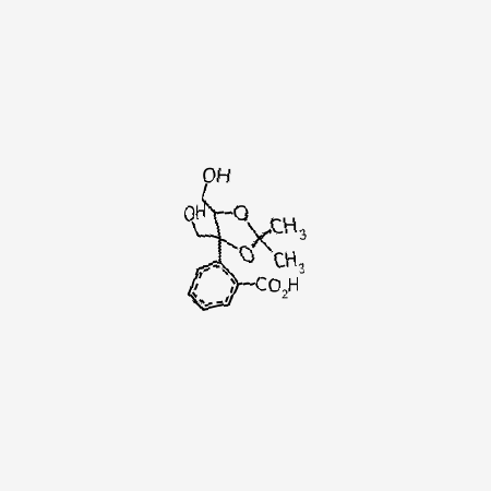 CC1(C)OC(CO)C(CO)(c2ccccc2C(=O)O)O1